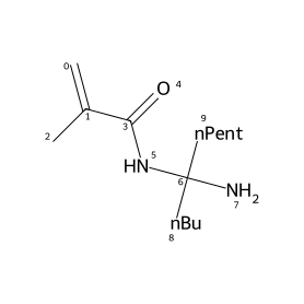 C=C(C)C(=O)NC(N)(CCCC)CCCCC